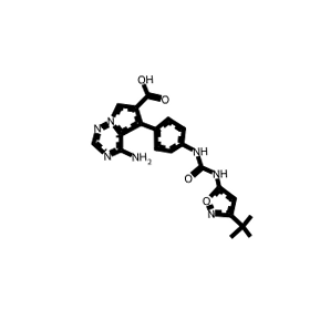 CC(C)(C)c1cc(NC(=O)Nc2ccc(-c3c(C(=O)O)cn4ncnc(N)c34)cc2)on1